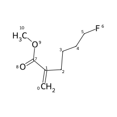 C=C(CCCCF)C(=O)OC